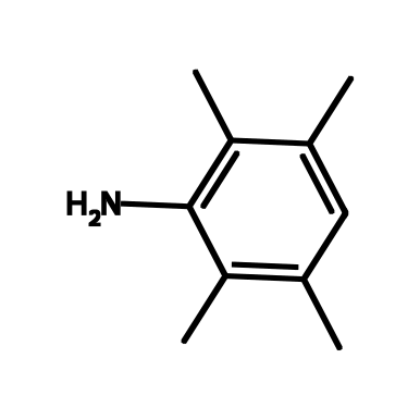 Cc1cc(C)c(C)c(N)c1C